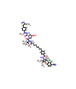 Cc1ncsc1-c1ccc([C@H](C)NC(=O)[C@@H]2C[C@@H](O)CN2C(=O)[C@@H](NC(=O)CCCCCCCc2ccc(C(=O)NC3C(C)(C)C(Oc4ccc(C#N)c(Cl)c4)C3(C)C)cc2)C(C)(C)C)cc1